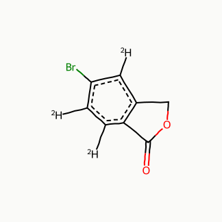 [2H]c1c([2H])c2c(c([2H])c1Br)COC2=O